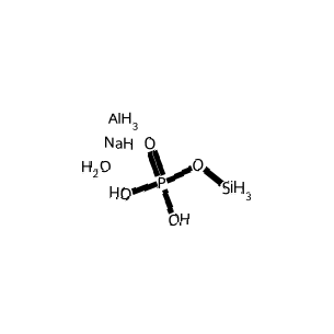 O.O=P(O)(O)O[SiH3].[AlH3].[NaH]